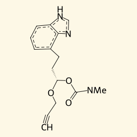 C#CCO[C@H](CCc1cccc2[nH]cnc12)OC(=O)NC